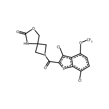 O=C1NC2(CO1)CN(C(=O)c1sc3c(Cl)ccc(OC(F)(F)F)c3c1Cl)C2